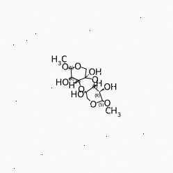 CO[C@H]1OCC2(O)O[C@@H]3[C@@H](O)[C@@H](OC)OCC3(O)O[C@@H]2[C@H]1O